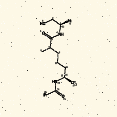 CC[C@H](CO)NC(=O)C(C)CCC[C@H](NC(=O)C(C)C)C(F)(F)F